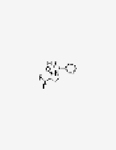 CC(c1ccccc1)N1CCC(C(F)F)C1=O